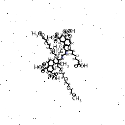 COCCOCCOCCOCCC1(C)C(/C=C/C=C2/N(CCCCCC(=O)O)c3ccc4c(S(=O)(=O)O)cc(S(=O)(=O)O)cc4c3C2(C)C)=[N+](CCOCCOCCOC)c2ccc3c(S(=O)(=O)O)cc(S(=O)(=O)O)cc3c21